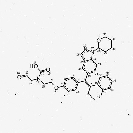 CCC(=C(c1ccc(OCCN(CC=O)C(=O)O)cc1)c1ccc2c(cnn2C2CCCCO2)c1)c1ccccc1C